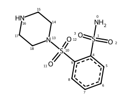 NS(=O)(=O)c1ccccc1S(=O)(=O)N1CCNCC1